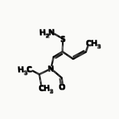 C/C=C\C(=C/N(C=O)C(C)C)SN